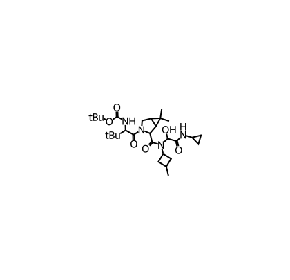 CC1CC(N(C(=O)C2C3C(CN2C(=O)C(NC(=O)OC(C)(C)C)C(C)(C)C)C3(C)C)C(O)C(=O)NC2CC2)C1